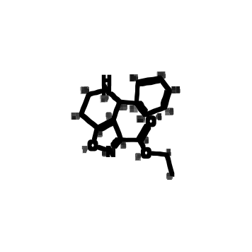 CCOC(=O)c1noc2c1C(c1ccccc1)NCC2